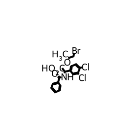 C[C@H](CBr)Oc1cc(Cl)c(Cl)cc1C(NC(=O)c1ccccc1)C(=O)O